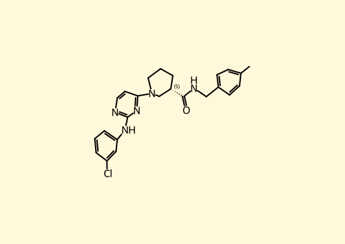 Cc1ccc(CNC(=O)[C@H]2CCCN(c3ccnc(Nc4cccc(Cl)c4)n3)C2)cc1